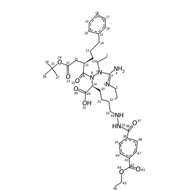 CCN=C(N)N(CC)N(C(=O)[C@H](CCCc1ccccc1)CC(=O)OC(C)(C)C)[C@@H](CCCCNNC(=O)c1ccc(C(=O)OCC)cc1)C(=O)O